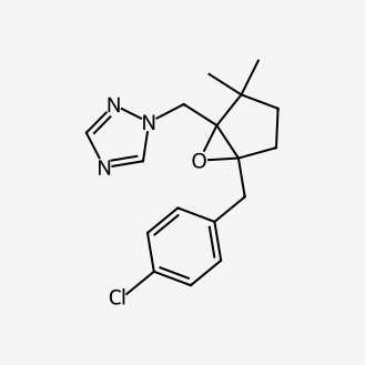 CC1(C)CCC2(Cc3ccc(Cl)cc3)OC12Cn1cncn1